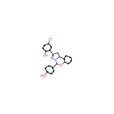 Oc1ccc(C2Oc3ccccc3C3CC(c4cc(Cl)ccc4O)=NN32)cc1